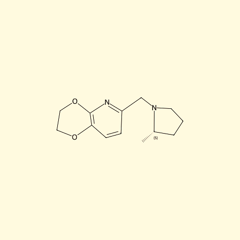 C[C@H]1CCCN1Cc1ccc2c(n1)OCCO2